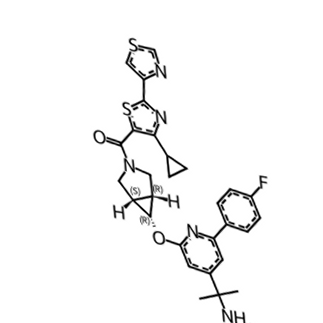 CC(C)(N)c1cc(O[C@@H]2[C@@H]3CN(C(=O)c4sc(-c5cscn5)nc4C4CC4)C[C@@H]32)nc(-c2ccc(F)cc2)c1